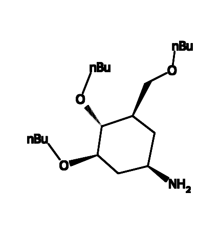 CCCCOC[C@H]1C[C@@H](N)C[C@@H](OCCCC)[C@@H]1OCCCC